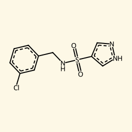 O=S(=O)(NCc1cccc(Cl)c1)c1cn[nH]c1